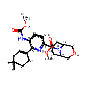 CC1(C)CC=C(c2nc(C3CC4COCC(C3)N4C(=O)OC(C)(C)C)ccc2NC(=O)OC(C)(C)C)CC1